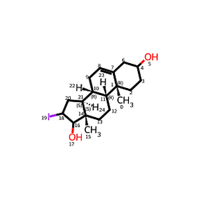 C[C@]12CCC(O)CC1=CC[C@@H]1[C@H]2CC[C@]2(C)C(O)C(I)C[C@@H]12